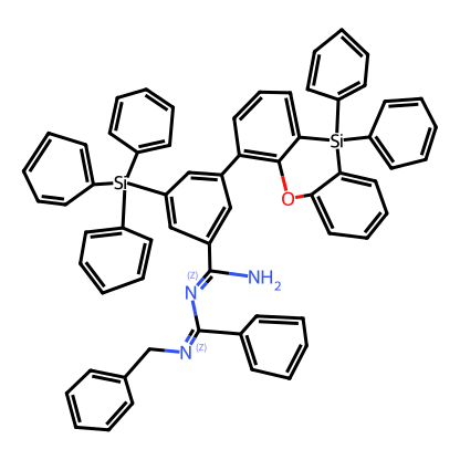 N/C(=N\C(=N/Cc1ccccc1)c1ccccc1)c1cc(-c2cccc3c2Oc2ccccc2[Si]3(c2ccccc2)c2ccccc2)cc([Si](c2ccccc2)(c2ccccc2)c2ccccc2)c1